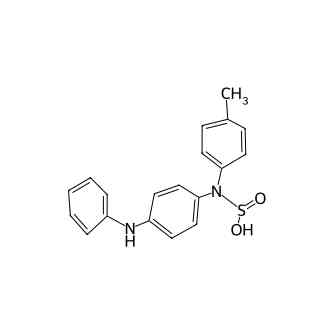 Cc1ccc(N(c2ccc(Nc3ccccc3)cc2)S(=O)O)cc1